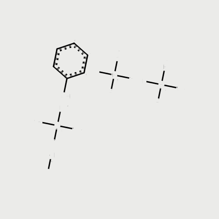 Cc1ccccc1.F[B-](F)(F)F.F[B-](F)(F)F.F[B-](F)(F)F.[Cl][K]